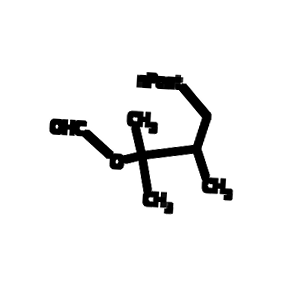 CCCCCCC(C)C(C)(C)OC=O